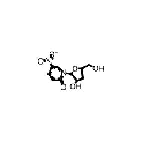 O=c1ccc([N+](=O)[O-])cn1C1OC(CO)CC1O